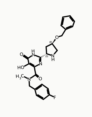 CN(Cc1ccc(F)cc1)C(=O)c1nc([C@@H]2C[C@@H](OCc3ccccc3)CN2)[nH]c(=O)c1O